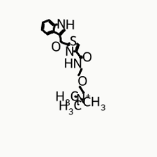 C[N+](C)(C)CCOCCNC(=O)c1csc(C(=O)c2c[nH]c3ccccc23)n1